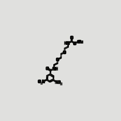 CC(C)(C)OC(=O)NCCOCCOCCNC(=O)c1cc([N+](=O)[O-])cc([N+](=O)[O-])c1